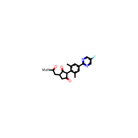 CNC(=O)CC1CC(=O)C(c2c(C)cc(-c3ncc(F)cn3)cc2C)C1=O